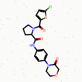 O=C(Nc1ccc(N2CCOCC2=O)cc1)C1CCCN1C(=O)c1ccc(Cl)s1